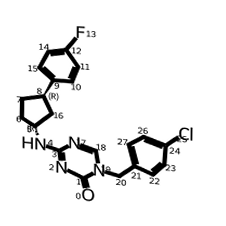 O=c1nc(N[C@@H]2CC[C@@H](c3ccc(F)cc3)C2)ncn1Cc1ccc(Cl)cc1